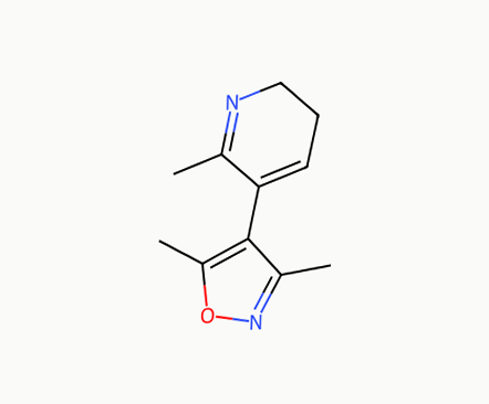 CC1=NCCC=C1c1c(C)noc1C